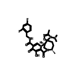 CC1=NOC2(CC[C@H](C)N3C[C@H]2n2cc(C(=O)NCc4ccc(F)cc4F)c(=O)c(O)c2C3=O)N1N(C)C